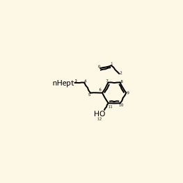 C=CC.CCCCCCCCCc1ccccc1O